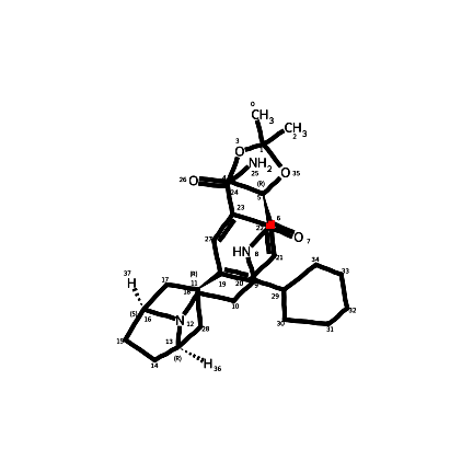 CC1(C)OC[C@H](C(=O)NC(CCN2[C@@H]3CC[C@H]2C[C@@H](c2cccc(C(N)=O)c2)C3)C2CCCCC2)O1